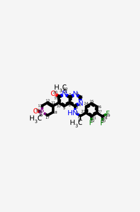 C[C@@H](Nc1ncnc2c1cc(C1=CC[P@@](C)(=O)CC1)c(=O)n2C)c1cccc(C(F)F)c1F